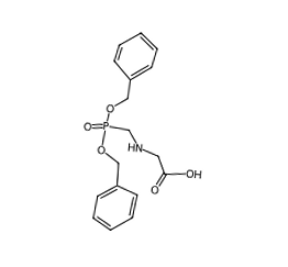 O=C(O)CNCP(=O)(OCc1ccccc1)OCc1ccccc1